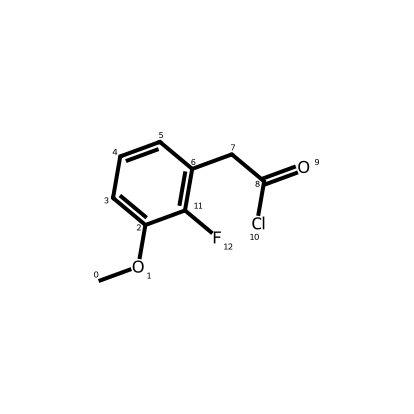 COc1cccc(CC(=O)Cl)c1F